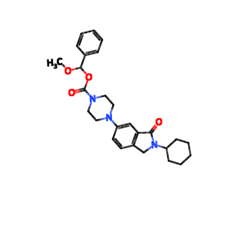 COC(OC(=O)N1CCN(c2ccc3c(c2)C(=O)N(C2CCCCC2)C3)CC1)c1ccccc1